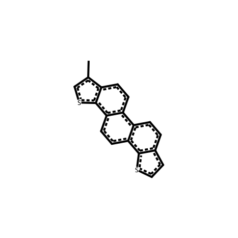 Cc1csc2c1ccc1c3ccc4ccsc4c3ccc12